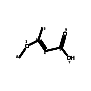 COC(C)=CC(=O)O